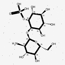 N[C@H]1[C@@H](O[C@@H]2[C@H](O)[C@@H](O)[C@H](O)[C@@H](O)[C@H]2OP(=O)(O)O)O[C@H](CO)[C@@H](O)[C@@H]1O